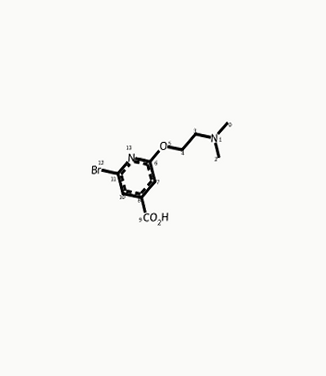 CN(C)CCOc1cc(C(=O)O)cc(Br)n1